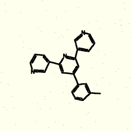 Cc1cccc(-c2cc(-c3cccnc3)nc(-c3cccnc3)c2)c1